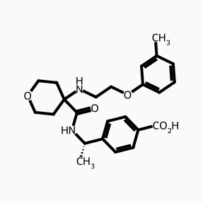 Cc1cccc(OCCNC2(C(=O)N[C@@H](C)c3ccc(C(=O)O)cc3)CCOCC2)c1